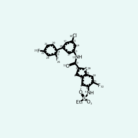 CCS(=O)(=O)Nc1cc2cc(C(=O)Nc3cc(Cl)cc(-c4ccc(F)cc4F)c3)sc2cc1F